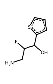 NCC(F)C(O)c1cccs1